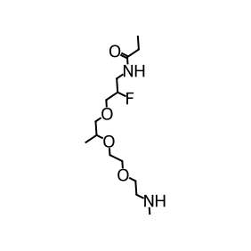 CCC(=O)NCC(F)COCC(C)OCCOCCNC